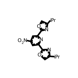 CC(C)c1coc(-c2cc([N+](=O)[O-])cc(-c3nc(C(C)C)co3)n2)n1